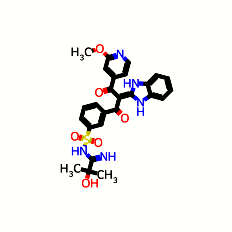 COc1cc(C(=O)C(C(=O)c2cccc(S(=O)(=O)NC(=N)C(C)(C)O)c2)=C2Nc3ccccc3N2)ccn1